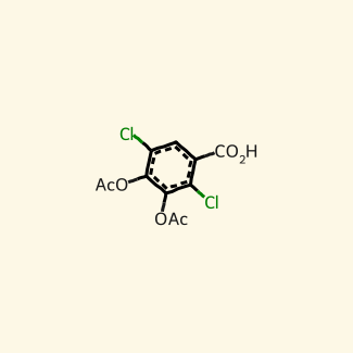 CC(=O)Oc1c(Cl)cc(C(=O)O)c(Cl)c1OC(C)=O